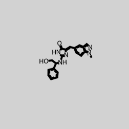 Cn1ncc2cc(/C=C3\N=C(NC(CO)c4ccccc4)NC3=O)ccc21